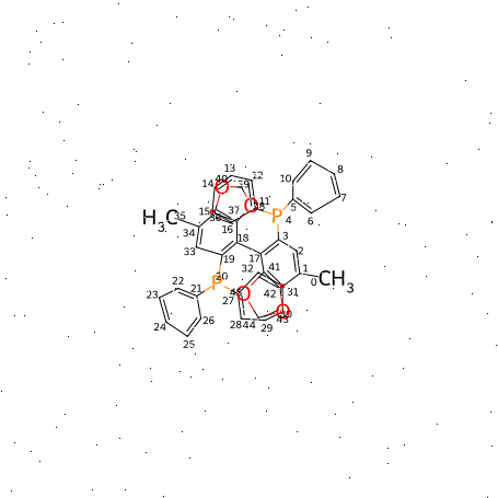 Cc1cc(P(c2ccccc2)c2ccccc2)c(-c2c(P(c3ccccc3)c3ccccc3)cc(C)c3c2OCO3)c2c1OCO2